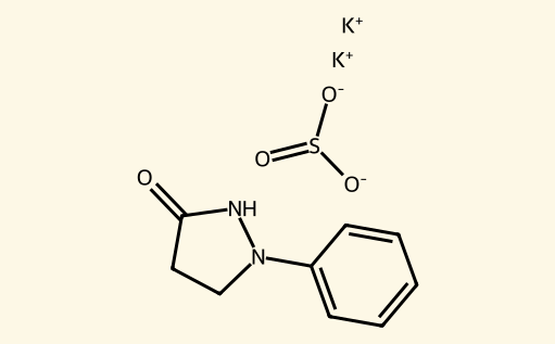 O=C1CCN(c2ccccc2)N1.O=S([O-])[O-].[K+].[K+]